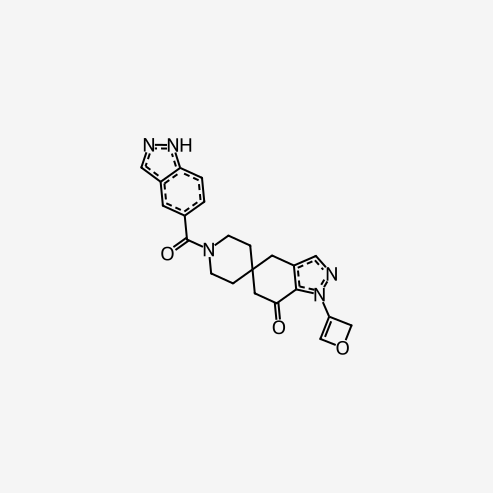 O=C1CC2(CCN(C(=O)c3ccc4[nH]ncc4c3)CC2)Cc2cnn(C3=COC3)c21